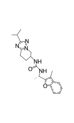 Cc1c([C@H](C)NC(=O)NC2CCc3nc(C(C)C)nn3C2)oc2ccccc12